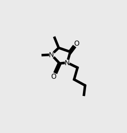 CCCCN1C(=O)C(C)N(C)C1=O